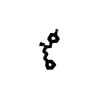 CC(=O)N(CCCc1ccccc1)Cc1ccc(F)cc1